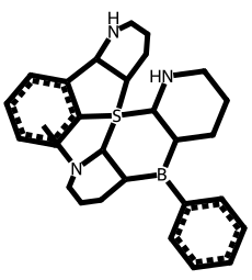 CN1CCCC2B(c3ccccc3)C3CCCNC3S3(c4ccccc4C4NCCCC43)C21